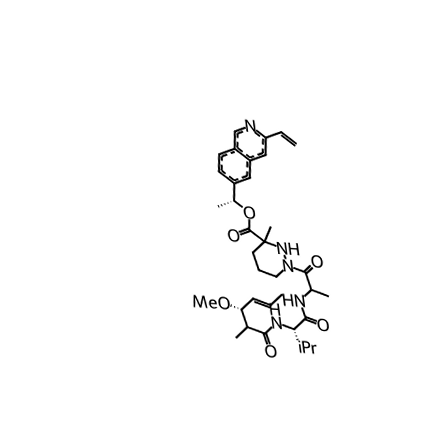 C=Cc1cc2cc([C@@H](C)OC(=O)C3(C)CCCN(C(=O)C(C)NC(=O)[C@@H](NC(=O)C(C)[C@@H](/C=C/C)OC)C(C)C)N3)ccc2cn1